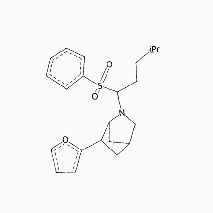 CC(C)CCC(N1CC2CC(c3ccco3)C1C2)S(=O)(=O)c1ccccc1